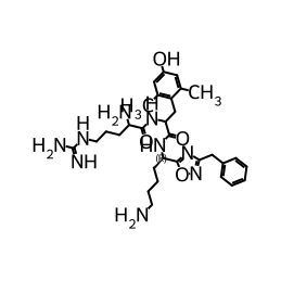 Cc1cc(O)cc(C)c1CC(NC(=O)C(N)CCCNC(=N)N)C(=O)N[C@H](CCCCN)c1nc(Cc2ccccc2)no1